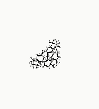 CC1(C)c2cc3c(cc2C(C)(C)C1(C)C)C(c1cccc(Br)n1)(c1cccc(Br)n1)c1cc2c(cc1O3)C(C)(C)C(C)(C)C2(C)C